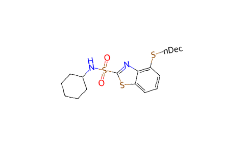 CCCCCCCCCCSc1cccc2sc(S(=O)(=O)NC3CCCCC3)nc12